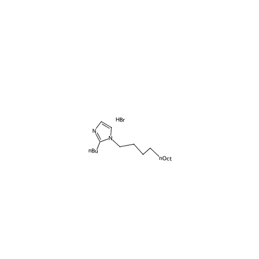 Br.CCCCCCCCCCCCn1ccnc1CCCC